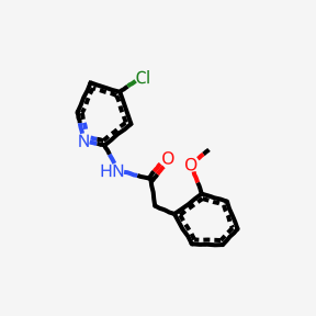 COc1ccccc1CC(=O)Nc1cc(Cl)ccn1